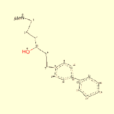 CNCCCC(O)CCc1ccc(-c2ccccc2)cc1